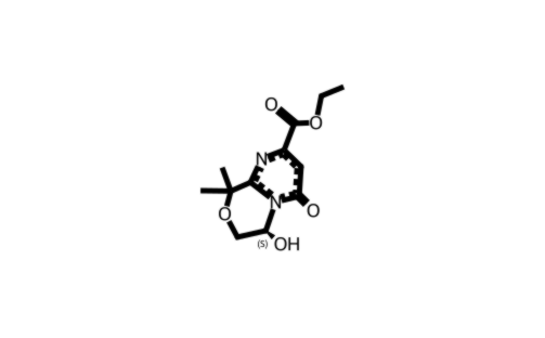 CCOC(=O)c1cc(=O)n2c(n1)C(C)(C)OC[C@@H]2O